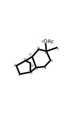 CC(=O)OC1(C)CCC2C3CCC(C3)C2C1